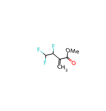 C=C(C(=O)OC)C(F)C(F)F